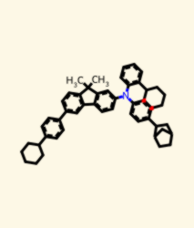 CC1(C)c2ccc(-c3ccc(C4CCCCC4)cc3)cc2-c2ccc(N(c3ccc(C4CC5CCC4C5)cc3)c3ccccc3C3CCCCC3)cc21